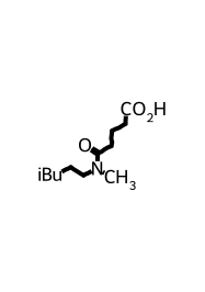 CCC(C)CCN(C)C(=O)CCCC(=O)O